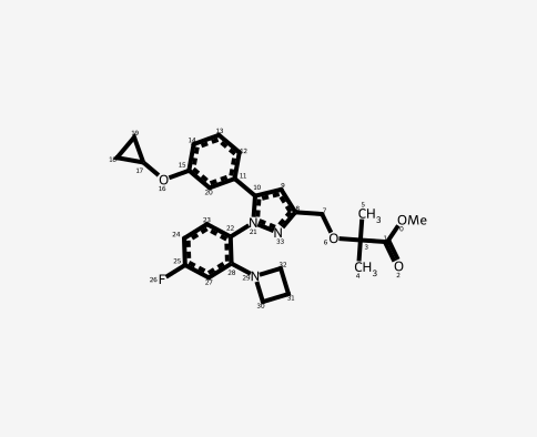 COC(=O)C(C)(C)OCc1cc(-c2cccc(OC3CC3)c2)n(-c2ccc(F)cc2N2CCC2)n1